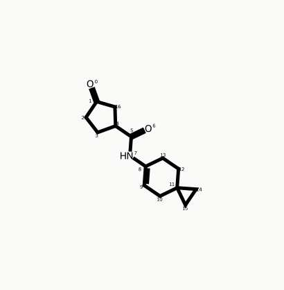 O=C1CCC(C(=O)NC2=CCC3(CC2)CC3)C1